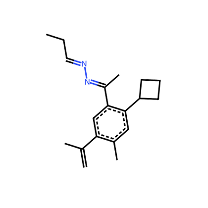 C=C(C)c1cc(/C(C)=N/N=C/CC)c(C2CCC2)cc1C